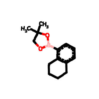 CC1(C)COB(c2cccc3c2CCCC3)O1